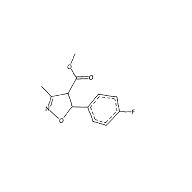 COC(=O)C1C(C)=NOC1c1ccc(F)cc1